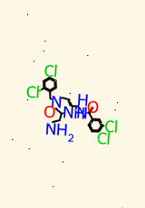 NCCC1NC(CNC(=O)c2ccc(Cl)c(Cl)c2)=CCN(Cc2ccc(Cl)cc2Cl)C1=O